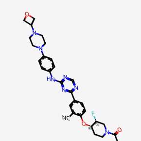 N#Cc1cc(-c2ncnc(Nc3ccc(N4CCN(C5COC5)CC4)cc3)n2)ccc1O[C@@H]1CCN(C(=O)CN)C[C@@H]1F